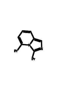 CC(C)c1cccc2cnc(C(C)C)n12